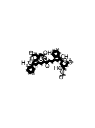 CC(CCCCC(=O)CCCCC(C)(c1ccccc1)C1CC(O)(CC(=O)O)CC(=O)O1)(c1ccccc1)C1CC(O)(COC=O)CC(=O)O1